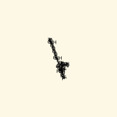 COC(=O)[C@@]1(OCCCCCCNC(=O)CCOCCOCCOCCOCCNC(=O)OC(C)(C)C)C[C@H](OC(C)=O)[C@@H](NC(=O)COC(C)=O)[C@H]([C@H](OC(C)=O)[C@@H](CNC(=O)Cc2ccc(C(F)F)cc2)OC(C)=O)O1